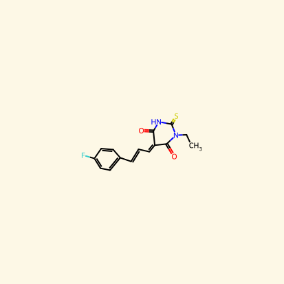 CCN1C(=O)/C(=C/C=C/c2ccc(F)cc2)C(=O)NC1=S